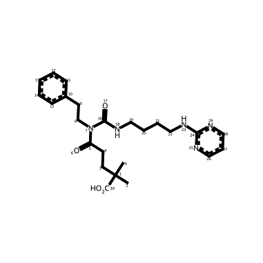 CC(C)(CCC(=O)N(CCc1ccccc1)C(=O)NCCCCNc1ncccn1)C(=O)O